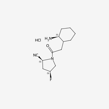 Cl.N#C[C@@H]1C[C@H](F)CN1C(=O)CC1CCCC[C@@H]1N